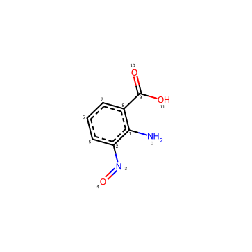 Nc1c(N=O)cccc1C(=O)O